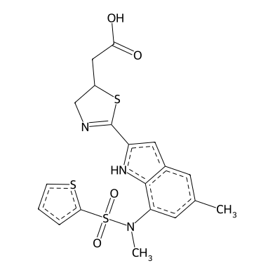 Cc1cc(N(C)S(=O)(=O)c2cccs2)c2[nH]c(C3=NCC(CC(=O)O)S3)cc2c1